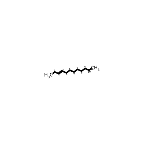 CCC=CCCCCCCCC